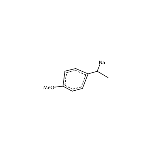 COc1ccc([CH](C)[Na])cc1